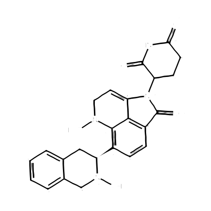 CN1CC=C2c3c(ccc([C@@H]4Cc5ccccc5CN4C)c31)C(=O)N2C1CCC(=O)NC1=O